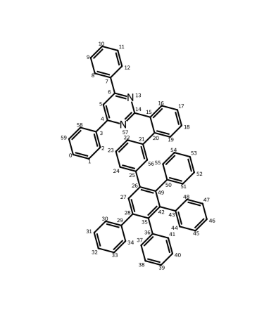 c1ccc(-c2cc(-c3ccccc3)nc(-c3ccccc3-c3cccc(-c4cc(-c5ccccc5)c(-c5ccccc5)c(-c5ccccc5)c4-c4ccccc4)c3)n2)cc1